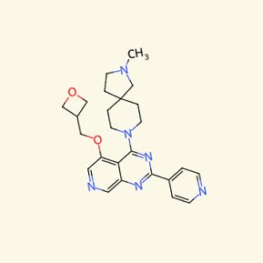 CN1CCC2(CCN(c3nc(-c4ccncc4)nc4cncc(OCC5COC5)c34)CC2)C1